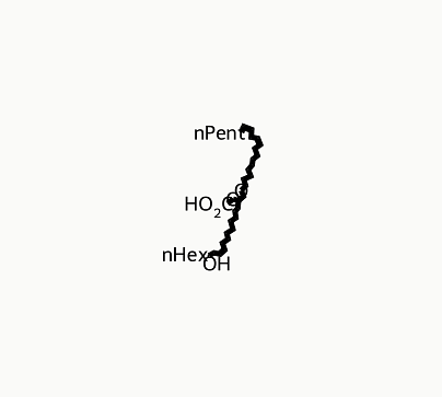 CCCCC/C=C\C/C=C\CCCCCCCCOCC(CCCCCCCC/C=C\CC(O)CCCCCC)OC(=O)O